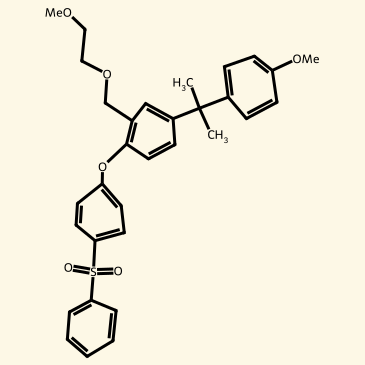 COCCOCc1cc(C(C)(C)c2ccc(OC)cc2)ccc1Oc1ccc(S(=O)(=O)c2ccccc2)cc1